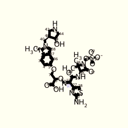 C[n+]1c2ccc(OCC(O/N=C(\C(=O)N[C@@H]3C(=O)N(OS(=O)(=O)[O-])C3(C)C)c3csc(N)n3)C(=O)O)cc2cn1C[C@H]1CNC[C@H]1O